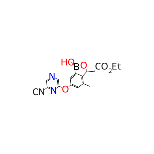 [C-]#[N+]c1cncc(Oc2cc(C)c3c(c2)B(O)OC3CC(=O)OCC)n1